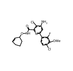 COc1c(Cl)ccc(-c2cc(N)c(Cl)c(C(=O)NOC3C=CCCC3)n2)c1F